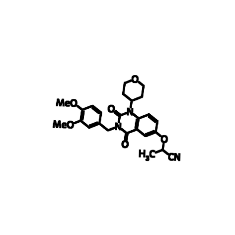 COc1ccc(Cn2c(=O)c3cc(OC(C)C#N)ccc3n(C3CCOCC3)c2=O)cc1OC